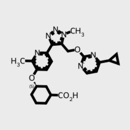 Cc1nc(-c2nnn(C)c2COc2nccc(C3CC3)n2)ccc1O[C@H]1CCCC(C(=O)O)C1